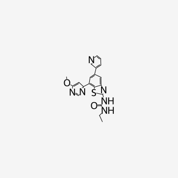 CCNC(=O)Nc1nc2cc(-c3cccnc3)cc(-c3cc(OC)ncn3)c2s1